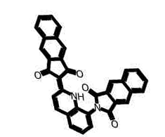 O=C1C(=C2C=Cc3cccc(N4C(=O)c5cc6ccccc6cc5C4=O)c3N2)C(=O)c2cc3ccccc3cc21